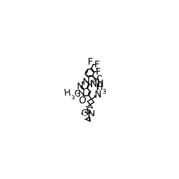 C[C@@H](Nc1ncnc2c1cc(C1(C#N)CC3(C1)CS(=O)(=NC1CC1)C3)c(=O)n2C)c1cccc(C(F)F)c1F